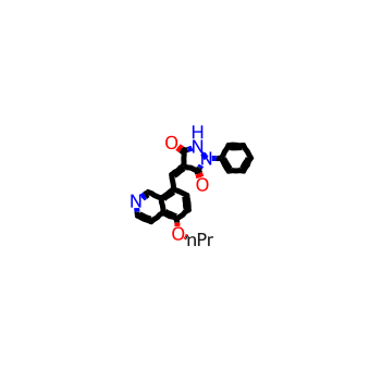 CCCOc1ccc(C=C2C(=O)NN(c3ccccc3)C2=O)c2cnccc12